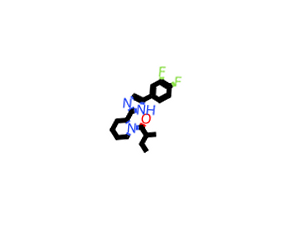 CCC(C)C(=O)N1CCCCC1c1ncc(-c2ccc(F)c(F)c2)[nH]1